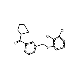 O=C(c1cccc(CSc2cccc(Cl)c2Cl)n1)N1CCCC1